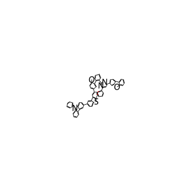 c1ccc(-c2cc(-c3ccc4c(c3)oc3ccccc34)nc(-c3cccc4oc5ccc(-c6ccc7sc8ccc(-c9ccc%10c(c9)c9ccccc9n%10-c9ccccc9)cc8c7c6)cc5c34)n2)cc1